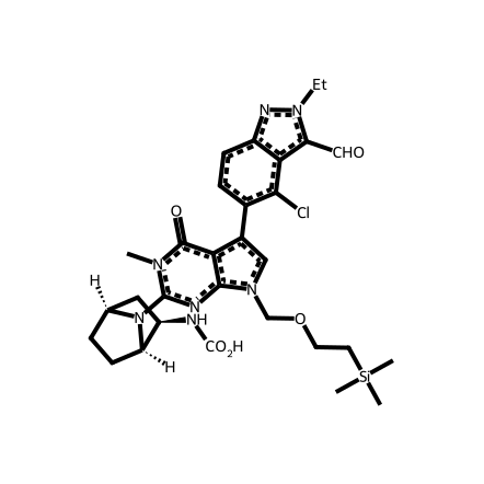 CCn1nc2ccc(-c3cn(COCC[Si](C)(C)C)c4nc(N5[C@H]6CC[C@@H]5[C@H](NC(=O)O)C6)n(C)c(=O)c34)c(Cl)c2c1C=O